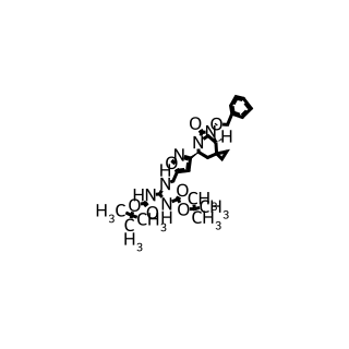 CC(C)(C)OC(=O)NC(NCc1cc([C@@H]2CC3(CC3)[C@H]3CN2C(=O)N3OCc2ccccc2)no1)NC(=O)OC(C)(C)C